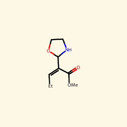 CCC=C(C(=O)OC)C1NCCO1